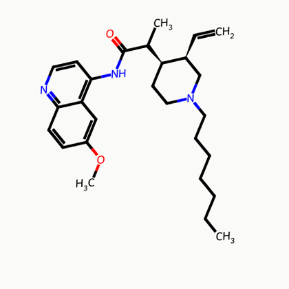 C=C[C@H]1CN(CCCCCCC)CC[C@H]1C(C)C(=O)Nc1ccnc2ccc(OC)cc12